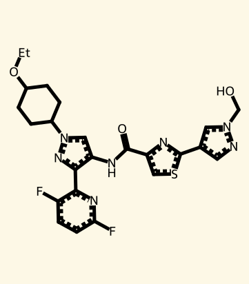 CCOC1CCC(n2cc(NC(=O)c3csc(-c4cnn(CO)c4)n3)c(-c3nc(F)ccc3F)n2)CC1